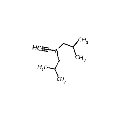 C#CN(CC(C)C)CC(C)C